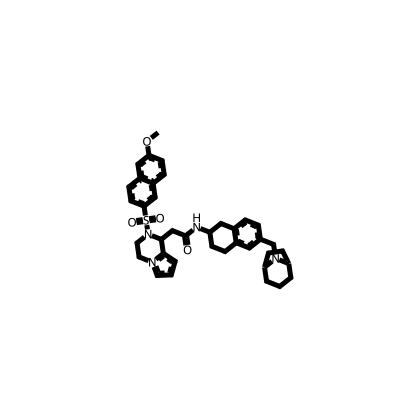 COc1ccc2cc(S(=O)(=O)N3CCn4cccc4C3CC(=O)NC3CCc4cc(CN5C6CCCC5CC6)ccc4C3)ccc2c1